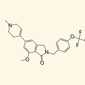 COc1cc(C2=CCN(C)CC2)cc2c1C(=O)N(Cc1ccc(OC(F)(F)F)cc1)C2